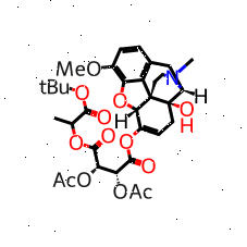 COc1ccc2c3c1O[C@H]1C(OC(=O)[C@H](OC(C)=O)[C@@H](OC(C)=O)C(=O)OC(C)C(=O)OC(C)(C)C)=CC[C@@]4(O)[C@@H](C2)N(C)CC[C@]314